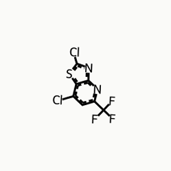 FC(F)(F)c1cc(Cl)c2sc(Cl)nc2n1